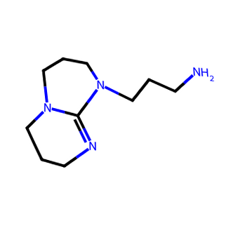 NCCCN1CCCN2CCCN=C12